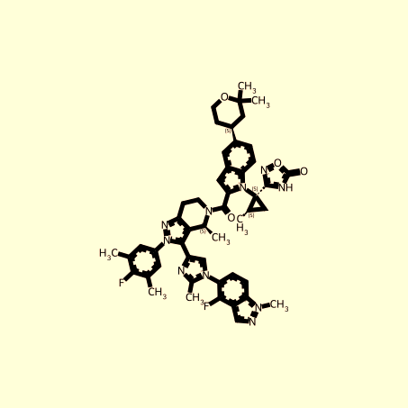 Cc1cc(-n2nc3c(c2-c2cn(-c4ccc5c(cnn5C)c4F)c(C)n2)[C@H](C)N(C(=O)c2cc4cc([C@H]5CCOC(C)(C)C5)ccc4n2[C@@]2(c4noc(=O)[nH]4)C[C@@H]2C)CC3)cc(C)c1F